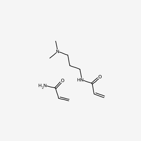 C=CC(=O)NCCCN(C)C.C=CC(N)=O